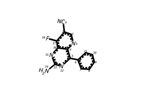 N#Cc1cnc2c(-c3ccccc3)nc(N)nc2c1F